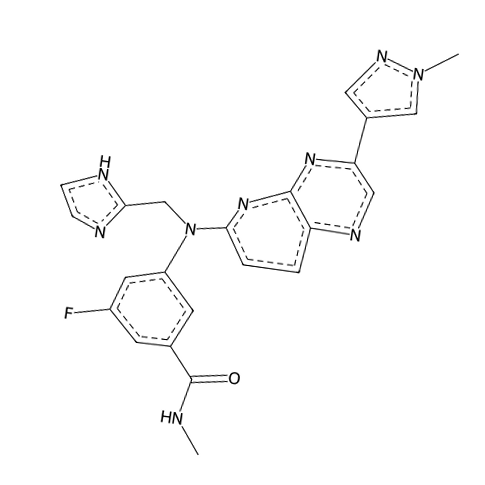 CNC(=O)c1cc(F)cc(N(Cc2ncc[nH]2)c2ccc3ncc(-c4cnn(C)c4)nc3n2)c1